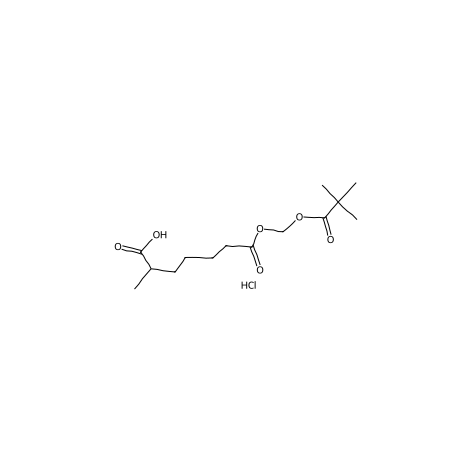 CC(CCCCC(=O)OCOC(=O)C(C)(C)C)C(=O)O.Cl